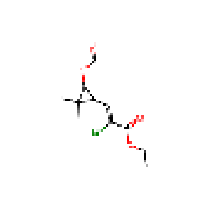 CCOC(=O)C(Br)=CC1C(OC=O)C1(C)C